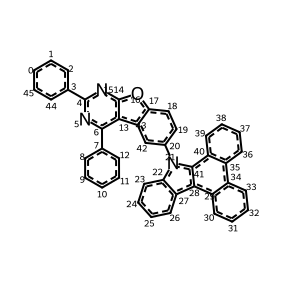 c1ccc(-c2nc(-c3ccccc3)c3c(n2)oc2ccc(-n4c5ccccc5c5c6ccccc6c6ccccc6c54)cc23)cc1